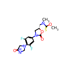 COC(=S)N(C)C[C@H]1CN(c2cc(F)c(N3CNC(=O)C3)c(F)c2)C(=O)O1